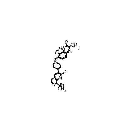 CNc1nccc2cc(C3=CCN(Cc4ccc5nc(C)c(=O)[nH]c5c4F)CC3)c(F)nc12